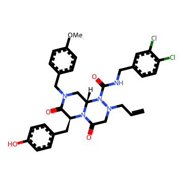 C=CCN1CC(=O)N2[C@@H](Cc3ccc(O)cc3)C(=O)N(Cc3ccc(OC)cc3)C[C@@H]2N1C(=O)NCc1ccc(Cl)c(Cl)c1